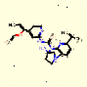 C=CO/C(=C\C)c1ccnc(NC(=C)N2c3nc(C(=C)C)ccc3N3CC[C@@]2(N)C3)c1